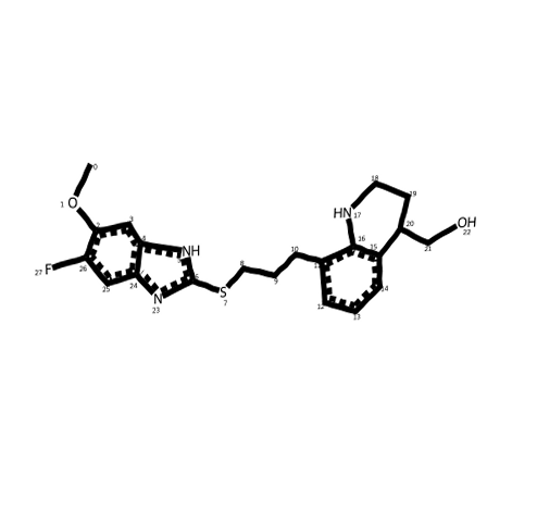 COc1cc2[nH]c(SCCCc3cccc4c3NCCC4CO)nc2cc1F